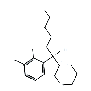 CCCCC[C@@](O)(c1cccc(Cl)c1F)[C@@H]1CCCNC1